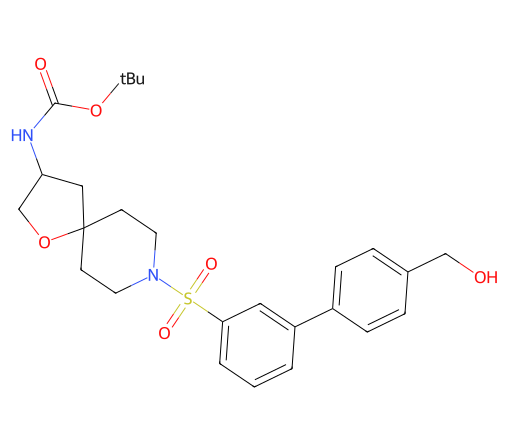 CC(C)(C)OC(=O)NC1COC2(CCN(S(=O)(=O)c3cccc(-c4ccc(CO)cc4)c3)CC2)C1